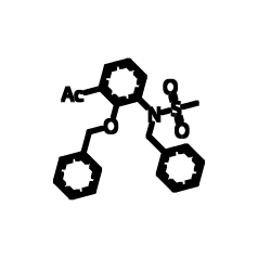 CC(=O)c1cccc(N(Cc2ccccc2)S(C)(=O)=O)c1OCc1ccccc1